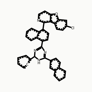 Clc1ccc2c(c1)oc1ccnc(-c3ccc(C4=NC(c5ccccc5)NC(c5ccc6ccccc6c5)=N4)c4ccccc34)c12